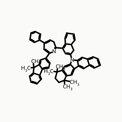 CC1(C)CCC(C)(C)c2cc3c(cc21)c1cc2ccccc2cc1n3C1=CC(C2=NC(c3ccc4c(c3)C(C)(C)c3ccccc3-4)=CC(c3ccccc3)=CC2)=C2C=CC=CC2C1